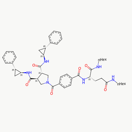 CCCCCCNC(=O)CC[C@H](NC(=O)c1ccc(C(=O)N2C[C@@H](C(=O)N[C@H]3C[C@@H]3c3ccccc3)[C@H](C(=O)N[C@H]3C[C@@H]3c3ccccc3)C2)cc1)C(=O)NCCCCCC